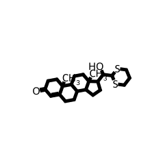 CC12CCC(=O)C=C1CCC1C2CCC2(C)C(C(O)C3SCCCS3)CCC12